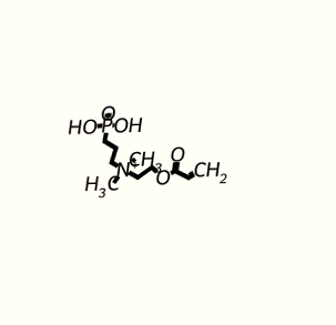 C=CC(=O)OCC[N+](C)(C)CCCP(=O)(O)O